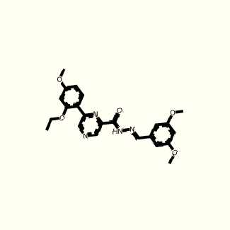 CCOc1cc(OC)ccc1-c1cncc(C(=O)N/N=C/c2cc(OC)cc(OC)c2)n1